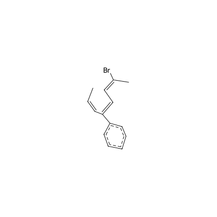 C\C=C/C(=C\C=C(/C)Br)c1ccccc1